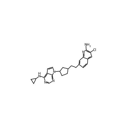 Nc1nc2cc(CCC3CCC(n4ccc5c(NC6CC6)ncnc54)C3)ccc2cc1Cl